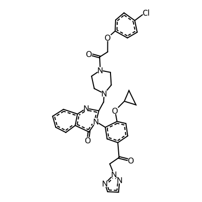 O=C(Cn1nccn1)c1ccc(OC2CC2)c(-n2c(CN3CCN(C(=O)COc4ccc(Cl)cc4)CC3)nc3ccccc3c2=O)c1